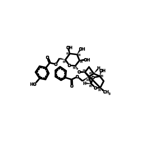 C[C@@]12C[C@@]3(O)O[C@@H](O1)[C@]1(COC(=O)c4ccccc4)[C@H]3C[C@@]12O[C@@H]1O[C@H](COC(=O)c2ccc(O)cc2)[C@@H](O)[C@H](O)[C@H]1O